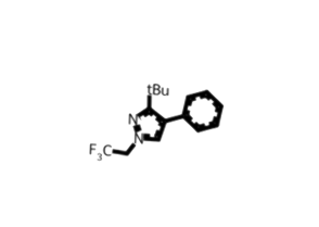 CC(C)(C)c1nn(CC(F)(F)F)cc1-c1ccccc1